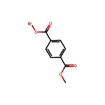 COC(=O)c1ccc(C(=O)OBr)cc1